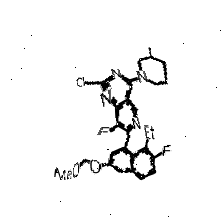 CCc1c(F)ccc2cc(OCOC)cc(-c3ncc4c(N5CCC[C@H](C)C5)nc(Cl)nc4c3F)c12